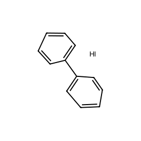 I.c1ccc(-c2ccccc2)cc1